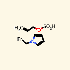 C=CCOS(=O)(=O)O.CC(C)Cn1cccc1